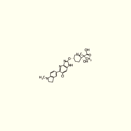 CN1CCc2cc(-c3nc4nc(O[C@H]5CC[C@](O)(C(C)(C)C(=O)O)CC5)[nH]c4cc3Cl)ccc21